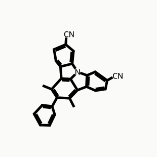 Cc1c(-c2ccccc2)c(C)c2c3ccc(C#N)cc3n3c4cc(C#N)ccc4c1c23